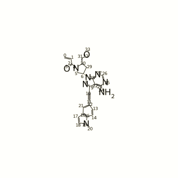 C=CC(=O)N1C[C@@H](n2nc(C#Cc3ccc4c(ccn4C)c3)c3c(N)ncnc32)C[C@@H]1COC